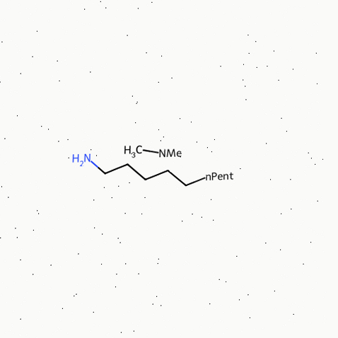 CCCCCCCCCCN.CNC